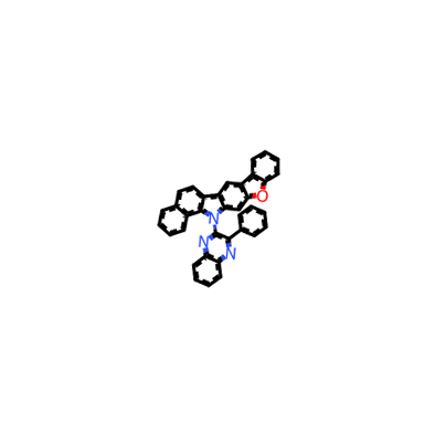 c1ccc(-c2nc3ccccc3nc2-n2c3cc4oc5ccccc5c4cc3c3ccc4ccccc4c32)cc1